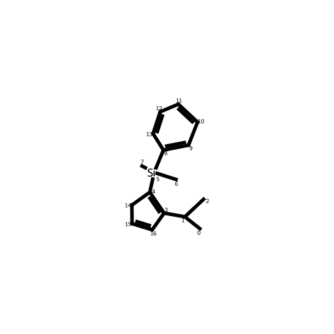 CC(C)C1=C([Si](C)(C)c2ccccc2)CC=C1